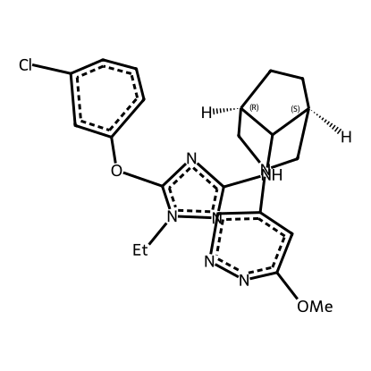 CCn1nc(NC2[C@@H]3CC[C@H]2CN(c2cnnc(OC)c2)C3)nc1Oc1cccc(Cl)c1